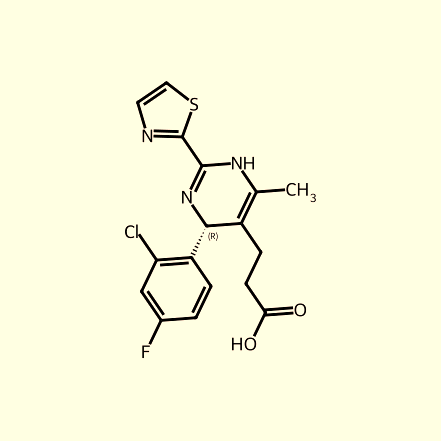 CC1=C(CCC(=O)O)[C@H](c2ccc(F)cc2Cl)N=C(c2nccs2)N1